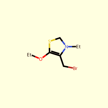 CCOC1=C(CBr)N(CC)CS1